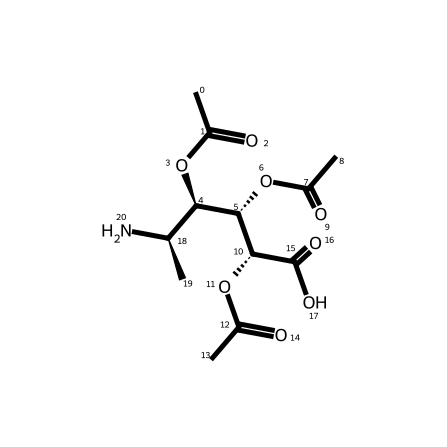 CC(=O)O[C@@H]([C@H](OC(C)=O)[C@@H](OC(C)=O)C(=O)O)[C@@H](C)N